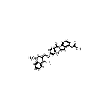 Cc1cc2c(CC(=O)O)cccc2n1C(=O)c1ccc(OCC2CN(C)c3ccccc3N2C)cc1